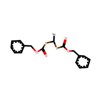 [3H]C(SC(=O)OCc1ccccc1)SC(=O)OCc1ccccc1